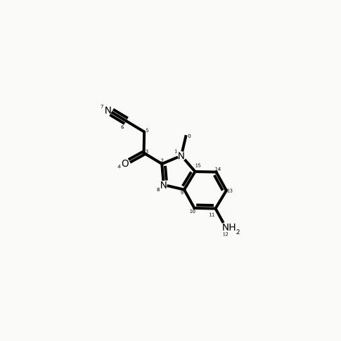 Cn1c(C(=O)CC#N)nc2cc(N)ccc21